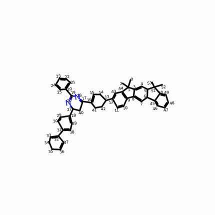 CC1(C)C2=CC3C(C=C2c2ccc(C4CC=C(C5=NC(c6ccccc6)=NC(c6ccc(C7=CCCC=C7)cc6)C5)CC4)cc21)c1ccccc1C3(C)C